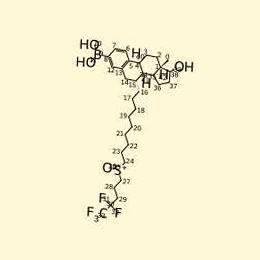 C[C@]12CC[C@@H]3c4ccc(B(O)O)cc4C[C@@H](CCCCCCCCC[S+]([O-])CCCC(F)(F)C(F)(F)F)[C@H]3[C@@H]1CC[C@@H]2O